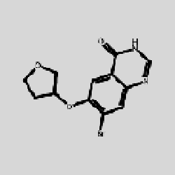 O=c1[nH]cnc2cc(Br)c(OC3CCOC3)cc12